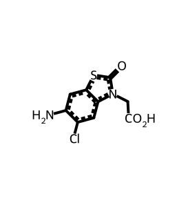 Nc1cc2sc(=O)n(CC(=O)O)c2cc1Cl